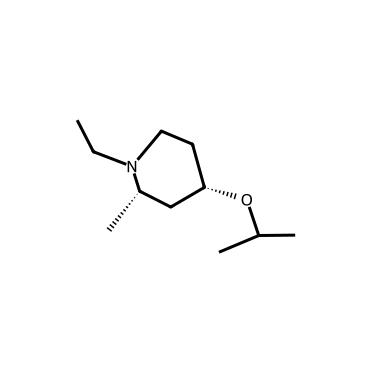 CCN1CC[C@H](OC(C)C)C[C@@H]1C